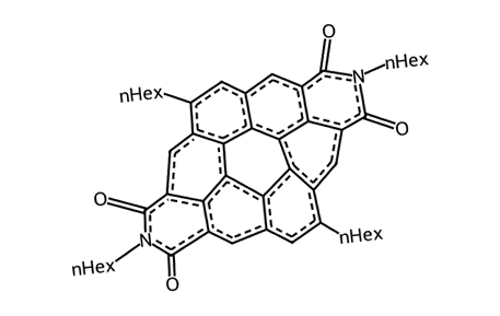 CCCCCCc1cc2cc3c(=O)n(CCCCCC)c(=O)c4cc5c(CCCCCC)cc6cc7c(=O)n(CCCCCC)c(=O)c8cc1c1c2c(c34)c5c6c1c78